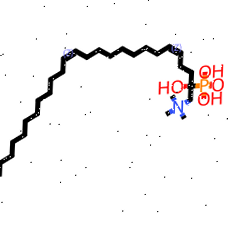 CCCCCCCCCCC/C=C\CCCCCCC/C=C\CCC(O)(C[N+](C)(C)C)P(=O)(O)O